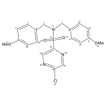 COc1ccc(CN(Cc2ccc(OC)cc2)S(=O)(=O)c2cnc(Cl)cn2)cc1